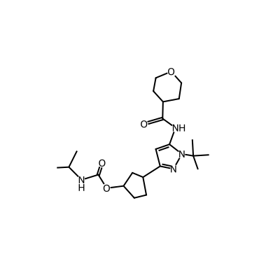 CC(C)NC(=O)OC1CCC(c2cc(NC(=O)C3CCOCC3)n(C(C)(C)C)n2)C1